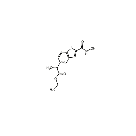 CCOC(=O)N(C)c1ccc2sc(C(=O)NO)cc2c1